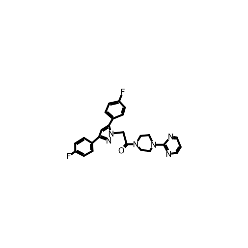 O=C(Cn1nc(-c2ccc(F)cc2)cc1-c1ccc(F)cc1)N1CCN(c2ncccn2)CC1